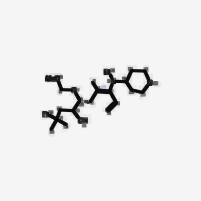 C=C/C(=C(/C)C[C@@H](OCOC)C(O)CC(C)(C)CC)N(CC)C1CCOCC1